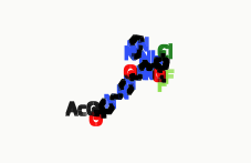 CC(=O)OC(=O)C1(C)CCN(CCN2CCN(C(=O)Cn3cc(Nc4cnn5cccnc45)c(-c4cc(Cl)ccc4OC(F)F)n3)CC2)CC1